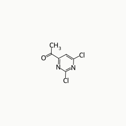 CC(=O)c1cc(Cl)nc(Cl)n1